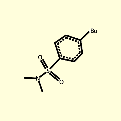 CCC(C)c1ccc(S(=O)(=O)N(C)C)cc1